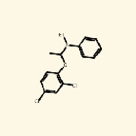 CCN(c1ccccc1)C(C)Oc1ccc(Cl)cc1Cl